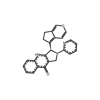 O=c1c2c([nH]c3ccccc13)[C@@H](C1=C3C=COC=C3CC1)N(c1ccccn1)C2